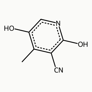 Cc1c(O)cnc(O)c1C#N